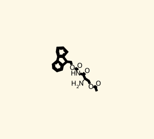 CC(=O)OC[C@H](N)C(=O)NC(=O)OCC1c2ccccc2-c2ccccc21